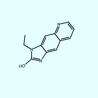 CCn1c(O)nc2cc3cccnc3cc21